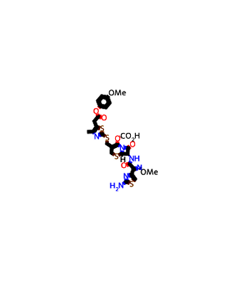 CON=C(C(=O)N[C@@H]1C(=O)N2C(OC(=O)O)=C(CSc3nc(C)c(CC(=O)Oc4ccc(OC)cc4)s3)CS[C@@H]12)c1csc(N)n1